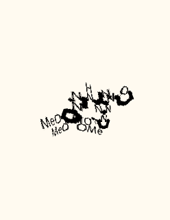 COc1cc(-n2cnc(Nc3nc(N4CCC[C@H]4CO)nc4c3cnn4C3CCCCO3)c2)cc(OC)c1OC